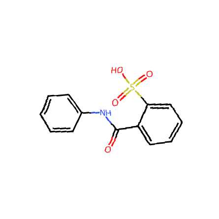 O=C(Nc1ccccc1)c1ccccc1S(=O)(=O)O